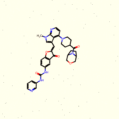 Cn1cc(C=C2Oc3ccc(NC(=O)Nc4cccnc4)cc3C2=O)c2c(N3CCC(C(=O)N4C5CCC4COC5)CC3)ccnc21